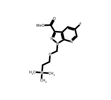 COC(=O)c1nn(COCC[Si](C)(C)C)c2ncc(F)cc12